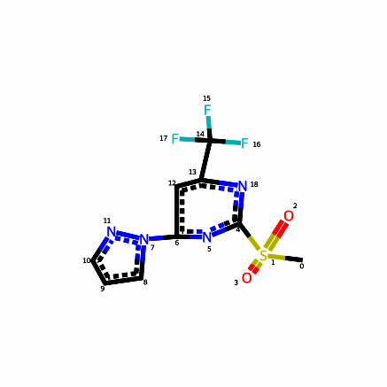 CS(=O)(=O)c1nc(-n2cccn2)cc(C(F)(F)F)n1